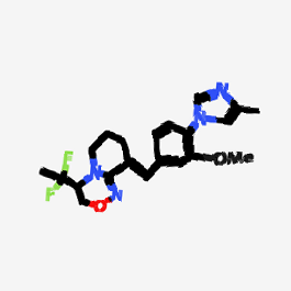 COc1cc(/C=C2\CCCN3C2=NOCC3C(C)(F)F)ccc1-n1cnc(C)c1